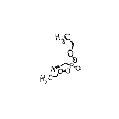 CCOOP(=O)(CC#N)OOCC